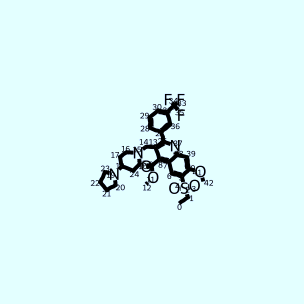 CCS(=O)(=O)c1cc2c(C(=O)OC)c(CN3CCC(N4CCCC4)CC3)c(-c3cccc(C(F)(F)F)c3)nc2cc1OC